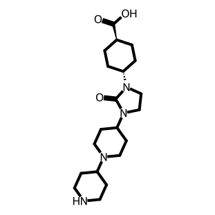 O=C1N(C2CCN(C3CCNCC3)CC2)CCN1[C@H]1CC[C@H](C(=O)O)CC1